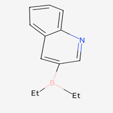 CCB(CC)c1cnc2ccccc2c1